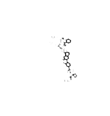 CC[C@H](C)CC(=O)N1[C@@H](C)CC[C@H]1c1ncc(-c2ccc3c(c2)COc2cc4c(ccc5nc([C@@H]6C[C@H](COC)CN6C(=O)[C@H](NC(=O)OC)c6ccccc6)[nH]c54)cc2-3)[nH]1